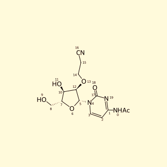 CC(=O)Nc1ccn([C@@H]2O[C@H](CO)[C@@H](O)[C@H]2OCCC#N)c(=O)n1